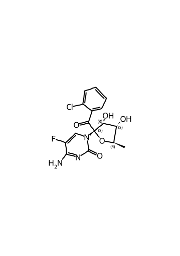 C[C@H]1O[C@@](C(=O)c2ccccc2Cl)(n2cc(F)c(N)nc2=O)[C@H](O)[C@@H]1O